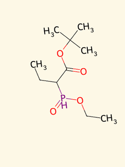 CCO[PH](=O)C(CC)C(=O)OC(C)(C)C